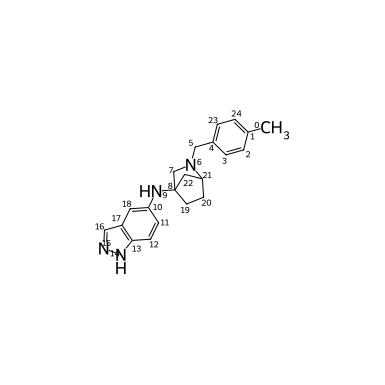 Cc1ccc(CN2CC3(Nc4ccc5[nH]ncc5c4)CCC2C3)cc1